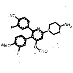 COc1ccc(-c2c(OC=O)cc(N3CCC(N)CC3)nc2-c2ccc(C#N)c(F)c2)cc1F